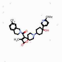 COc1ccc(C2(O)CCC(N3CCC4(CC3)OC(=O)C(C)=C4C(=O)N3CCc4ccc(C(F)(F)F)cc4C3)CC2)cn1